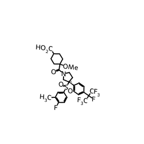 COC1(C(=O)N2CC[C@](c3ccc(C(F)(C(F)(F)F)C(F)(F)F)cc3)(S(=O)(=O)c3ccc(F)c(C)c3)C2)CCC(C(=O)O)CC1